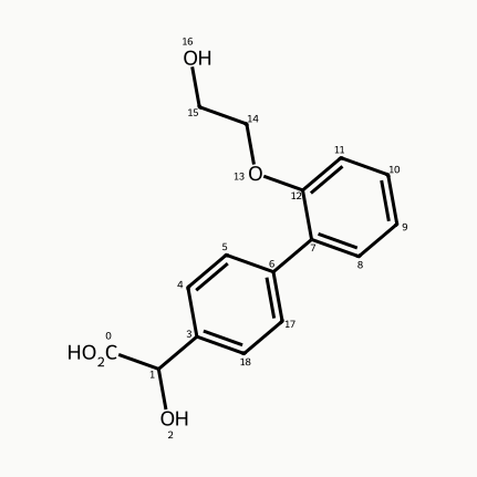 O=C(O)C(O)c1ccc(-c2ccccc2OCCO)cc1